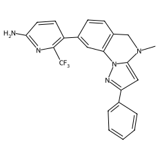 CN1Cc2ccc(-c3ccc(N)nc3C(F)(F)F)cc2-n2nc(-c3ccccc3)cc21